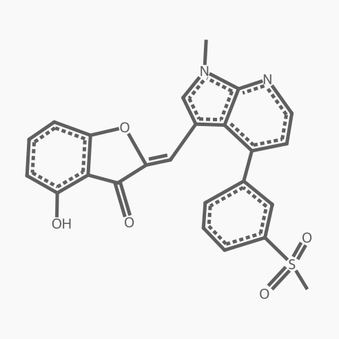 Cn1cc(/C=C2\Oc3cccc(O)c3C2=O)c2c(-c3cccc(S(C)(=O)=O)c3)ccnc21